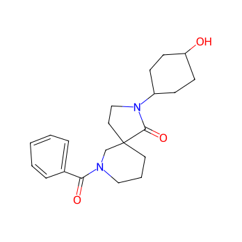 O=C(c1ccccc1)N1CCCC2(CCN(C3CCC(O)CC3)C2=O)C1